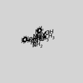 CC(O)C(CO)OC(C)n1c(-c2ccccn2)nc2c(OCc3ccccc3)nc(N)nc21